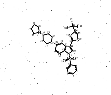 O=S(=O)(c1ccccc1)n1cc(-c2nc(C(F)(F)F)cs2)c2cc([C@H]3CC[C@@H](N4CCCC4)CC3)cnc21